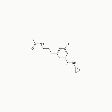 COc1cc([C@@H](C)NC2CC2)cc(CCCNC(C)=O)n1